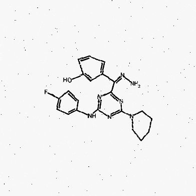 NN=C(c1cccc(O)c1)c1nc(Nc2ccc(F)cc2)nc(N2CCCCC2)n1